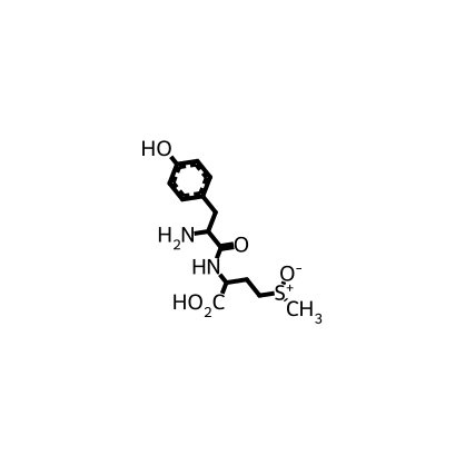 C[S+]([O-])CCC(NC(=O)C(N)Cc1ccc(O)cc1)C(=O)O